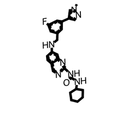 Cn1cc(-c2cc(F)cc(CNc3ccc4cnc(NC(=O)NC5CCCCC5)nc4c3)c2)cn1